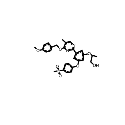 COc1ccc(COc2nc(-c3cc(Oc4ccc(S(C)(=O)=O)cc4)cc(OC(C)CO)c3)ncc2C)cc1